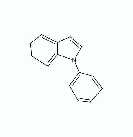 C1=c2ccn(-c3ccccc3)c2=CCC1